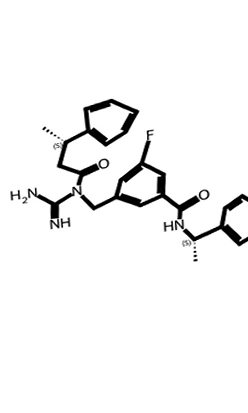 C[C@H](NC(=O)c1cc(F)cc(CN(C(=N)N)C(=O)C[C@H](C)c2ccccc2)c1)c1ccccc1